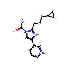 NC(=O)n1cc(-c2cccnc2)nc1CCCC1CC1